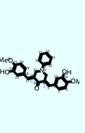 COc1ccc(/C=C2\CN(c3ccccc3)C/C(=C\c3ccc(OC)c(O)c3)C2=O)cc1O